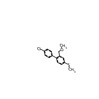 COCc1cc(SC)ccc1-c1ccc(Cl)cc1